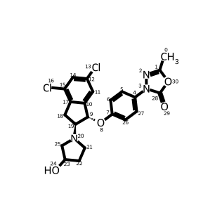 Cc1nn(-c2ccc(O[C@H]3c4cc(Cl)cc(Cl)c4C[C@@H]3N3CCC(O)C3)cc2)c(=O)o1